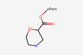 CCCCCOC(=O)C1C[N]CCO1